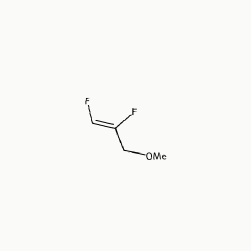 COCC(F)=CF